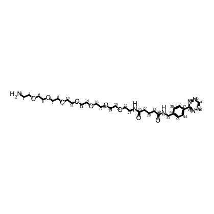 NCCOCCOCCOCCOCCOCCOCCOCCNC(=O)CCCC(=O)NCc1ccc(-c2nncnn2)cc1